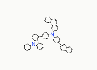 c1ccc(-n2c3ccccc3c3c(-c4ccc(N(c5ccc(-c6ccc7ccccc7c6)cc5)c5ccc6ccc7ccccc7c6c5)cc4)cccc32)cc1